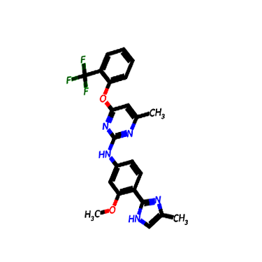 COc1cc(Nc2nc(C)cc(Oc3ccccc3C(F)(F)F)n2)ccc1-c1nc(C)c[nH]1